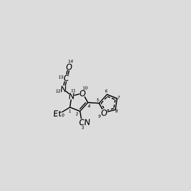 CCC1C(C#N)=C(c2ccco2)ON1N=C=O